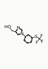 OCc1cn(-c2cccc(SC(F)(F)F)c2)cn1